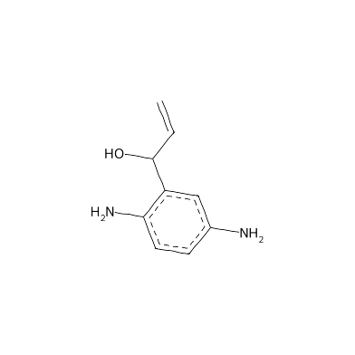 C=CC(O)c1cc(N)ccc1N